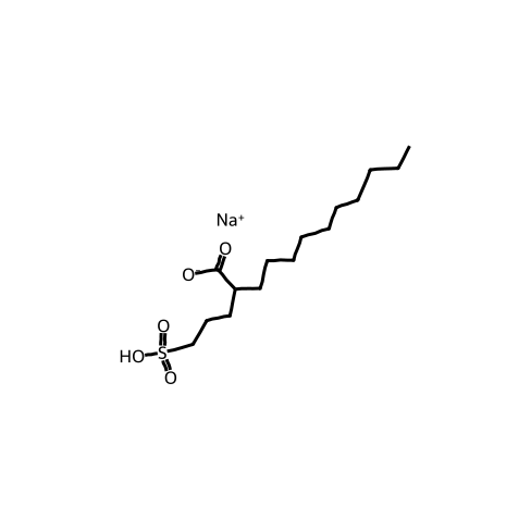 CCCCCCCCCCC(CCCS(=O)(=O)O)C(=O)[O-].[Na+]